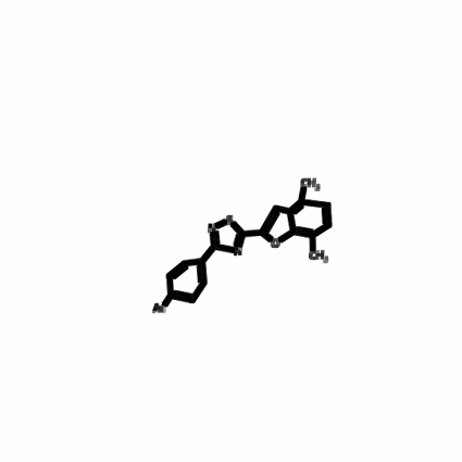 CC(=O)c1ccc(-c2nsc(-c3cc4c(C)ccc(C)c4o3)n2)cc1